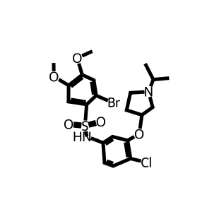 COc1cc(Br)c(S(=O)(=O)Nc2ccc(Cl)c(OC3CCN(C(C)C)C3)c2)cc1OC